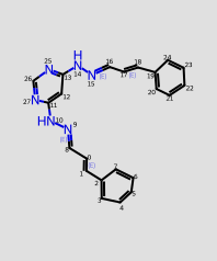 C(=C\c1ccccc1)/C=N/Nc1cc(N/N=C/C=C/c2ccccc2)ncn1